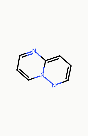 C1=C[N]N2C=CC=NC2=C1